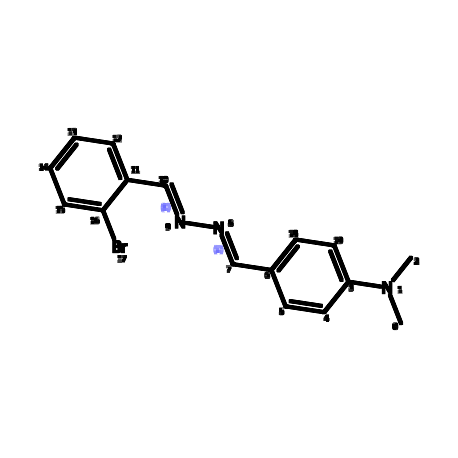 CN(C)c1ccc(/C=N/N=C/c2ccccc2Br)cc1